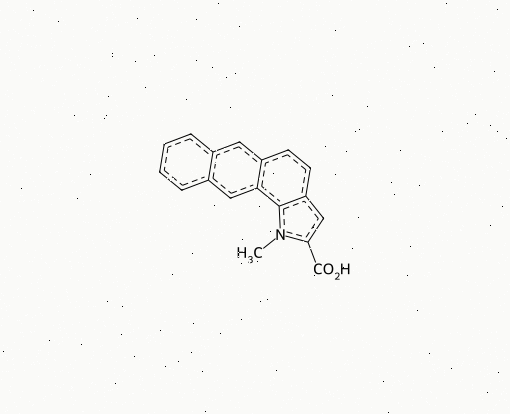 Cn1c(C(=O)O)cc2ccc3cc4ccccc4cc3c21